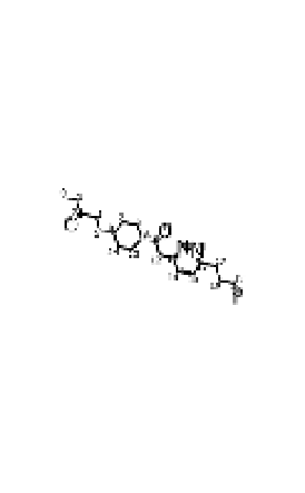 CCC(=O)CC[C@H]1CC[C@H](C(=O)Cc2ccc(CCCF)nn2)CC1